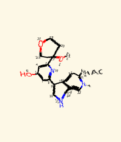 CCOC1(c2cc(O)cc(-c3c[nH]c4cnc(NC(C)=O)cc34)n2)CCOC1